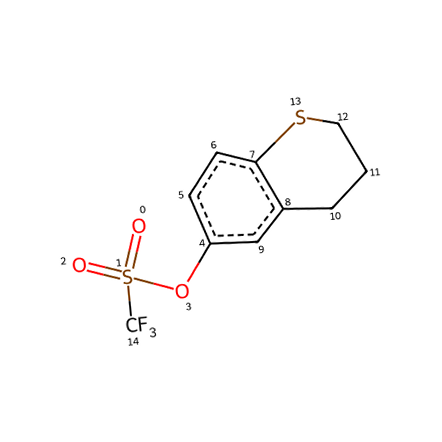 O=S(=O)(Oc1ccc2c(c1)CCCS2)C(F)(F)F